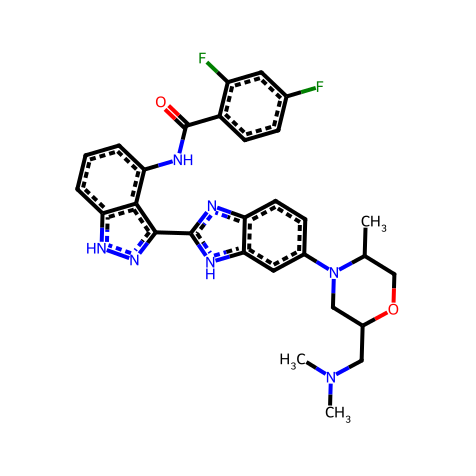 CC1COC(CN(C)C)CN1c1ccc2nc(-c3n[nH]c4cccc(NC(=O)c5ccc(F)cc5F)c34)[nH]c2c1